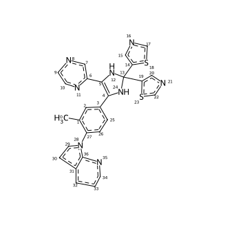 Cc1cc(C2=C(c3cnccn3)NC(c3cncs3)(c3cncs3)N2)ccc1-n1ccc2cccnc21